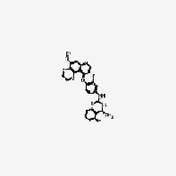 CCOc1cc2nccc(Oc3ccc(NC(=O)NC(C)c4ccccc4F)cc3F)c2c2c1OCCO2